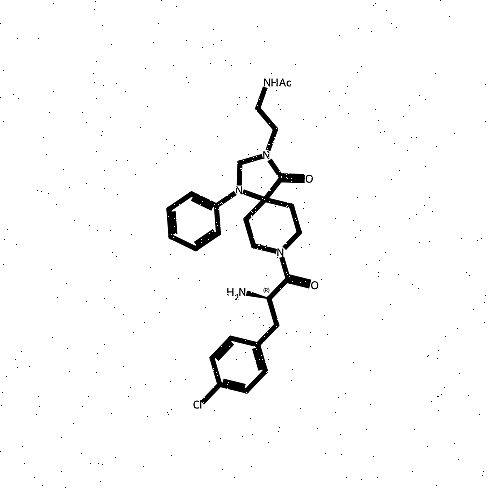 CC(=O)NCCN1CN(c2ccccc2)C2(CCN(C(=O)[C@H](N)Cc3ccc(Cl)cc3)CC2)C1=O